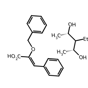 CCC([C@H](C)O)[C@@H](C)O.O=C(O)C(=Cc1ccccc1)OCc1ccccc1